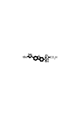 CC(C)[C@H](NS(=O)(=O)c1ccc2c(c1)sc1cc(-n3cc(C(C)(C)C)nn3)ccc12)C(=O)O